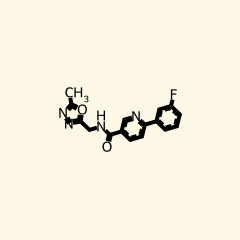 Cc1nnc(CNC(=O)c2ccc(-c3cccc(F)c3)nc2)o1